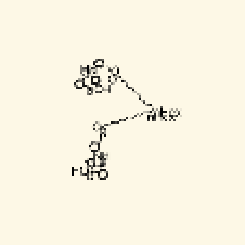 CCCCCCC(CCCCCCCCCCCC(=O)OCCc1cccc(Nc2ccc(O)c3c2C(=O)c2ccccc2C3=O)c1)C(CCCCCC)CCCCCCCCCCCC(=O)OCCc1cccc(Nc2ccc(O)c3c2C(=O)c2ccccc2C3=O)c1